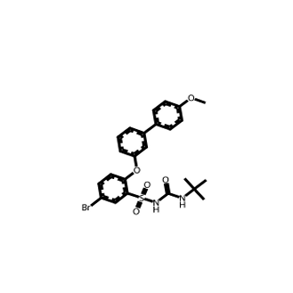 COc1ccc(-c2cccc(Oc3ccc(Br)cc3S(=O)(=O)NC(=O)NC(C)(C)C)c2)cc1